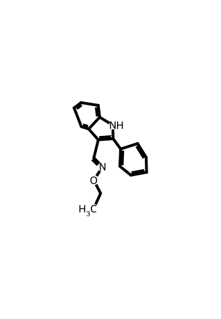 CCO/N=C/c1c(-c2ccccc2)[nH]c2ccccc12